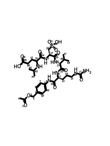 CC(=O)OCc1ccc(NC(=O)[C@H](CCCNC(N)=O)NC(=O)[C@H](NC(=O)[C@H](CS(=O)(=O)O)NC(=O)C(CCC(=O)O)NC(C)C)C(C)C)cc1